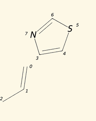 C=CC.c1cscn1